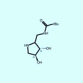 CC(C)(C)C(=O)NCC1NC[C@H](O)[C@H]1O